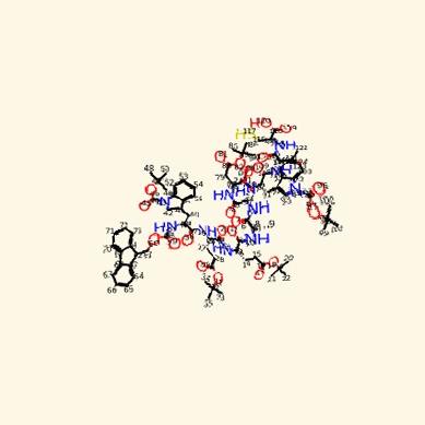 CC(C)C[C@H](NC(=O)[C@H](C)NC(=O)[C@H](CCC(=O)OC(C)(C)C)NC(=O)[C@H](CCC(=O)OC(C)(C)C)NC(=O)[C@H](Cc1cn(C(=O)OC(C)(C)C)c2ccccc12)NC(=O)OCC1c2ccccc2-c2ccccc21)C(=O)N[C@@H](CC(=O)OC(C)(C)C)C(=O)N[C@@H](Cc1cn(C(=O)OC(C)(C)C)c2ccccc12)C(=O)N[C@H](C(=O)N[C@@H](CS)C(=O)O)C(C)C